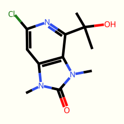 Cn1c(=O)n(C)c2c(C(C)(C)O)nc(Cl)cc21